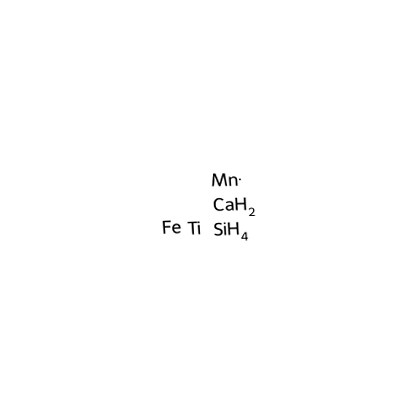 [CaH2].[Fe].[Mn].[SiH4].[Ti]